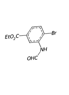 CCOC(=O)c1ccc(Br)c(NC=O)c1